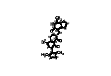 Cc1nnn(C)c1-c1cc(Br)c2c(c1Cl)C(=O)N(Cc1c(=O)[nH]c(C)c3scnc13)CC2